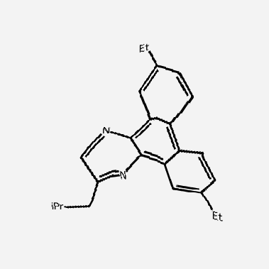 CCc1ccc2c3ccc(CC)cc3c3nc(CC(C)C)cnc3c2c1